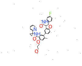 CNC(=O)C1c2cc(-c3cc(C(=O)NC4(c5ccccn5)CC4)c(OCCCOC)cc3C)ccc2OC1c1ccc(F)cc1